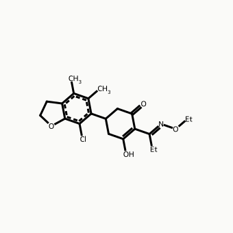 CCON=C(CC)C1=C(O)CC(c2c(C)c(C)c3c(c2Cl)OCC3)CC1=O